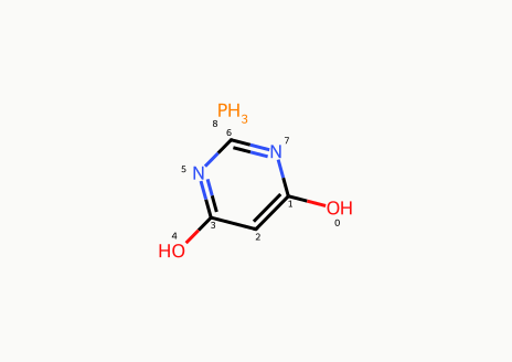 Oc1cc(O)ncn1.P